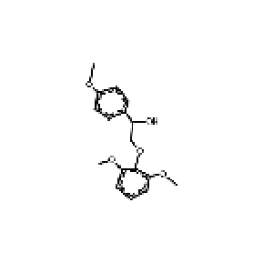 COc1ccc(C(O)COc2c(OC)cccc2OC)cc1